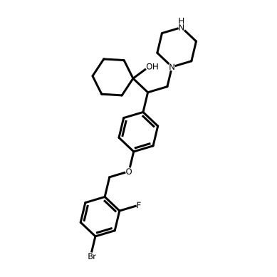 OC1(C(CN2CCNCC2)c2ccc(OCc3ccc(Br)cc3F)cc2)CCCCC1